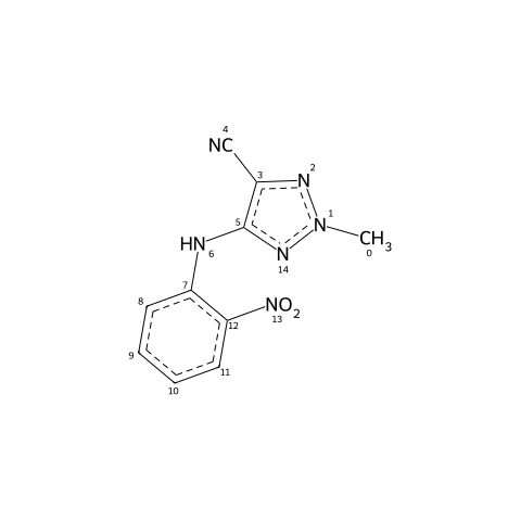 Cn1nc(C#N)c(Nc2ccccc2[N+](=O)[O-])n1